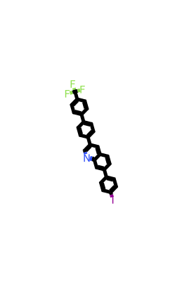 FC(F)(F)c1ccc(-c2ccc(-c3cnc4cc(-c5ccc(I)cc5)ccc4c3)cc2)cc1